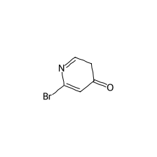 O=C1C=C(Br)N=CC1